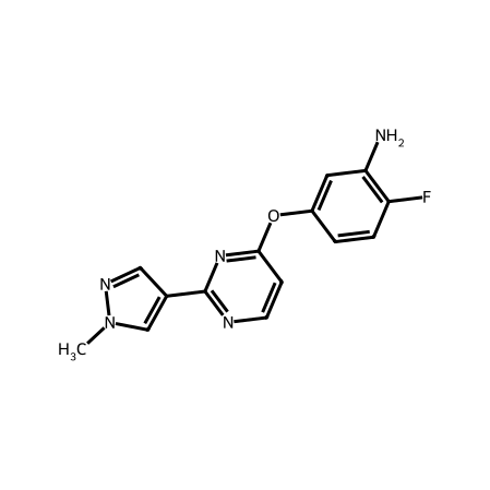 Cn1cc(-c2nccc(Oc3ccc(F)c(N)c3)n2)cn1